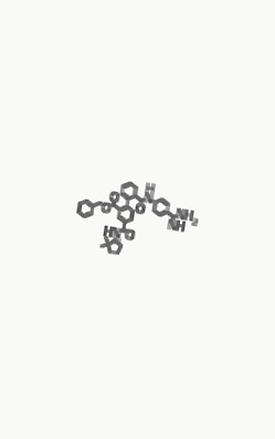 CC1(C)CCC[C@H]1NC(=O)c1ccc(-c2ccccc2C(=O)Nc2ccc(C(=N)N)cc2)c(C(=O)OCc2ccccc2)c1